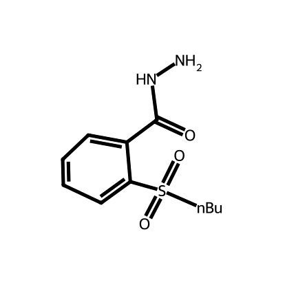 CCCCS(=O)(=O)c1ccccc1C(=O)NN